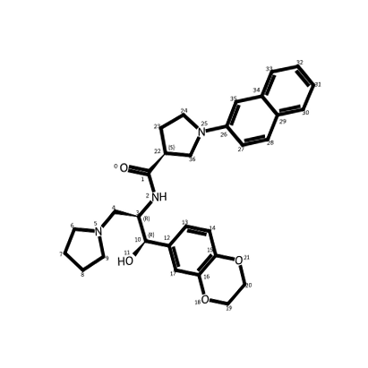 O=C(N[C@H](CN1CCCC1)[C@H](O)c1ccc2c(c1)OCCO2)[C@H]1CCN(c2ccc3ccccc3c2)C1